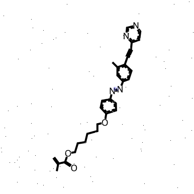 C=C(C)C(=O)OCCCCCCOc1ccc(/N=N/c2ccc(C#Cc3ccncn3)c(C)c2)cc1